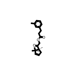 Cc1cccc(CCC(=O)OCC(=O)[C@@]2(C)CC=CC2(C)C)c1